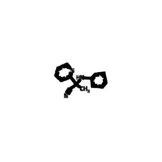 CC(C#N)(Nc1ccccc1)c1ccccn1